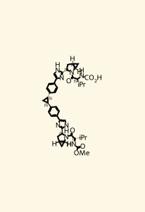 COC(=O)N[C@H](C(=O)N1[C@@H]2C[C@@H]2C[C@H]1c1nc(-c2ccc([C@H]3C[C@@H]3c3ccc(-c4c[nH]c([C@@H]5C[C@H]6C[C@H]6N5C(=O)[C@@H](NC(=O)O)C(C)C)n4)cc3)cc2)c[nH]1)C(C)C